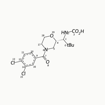 CC(C)(C)C(NC(=O)O)[C@@H]1CN(C(=O)c2ccc(Cl)c(Cl)c2)CCO1